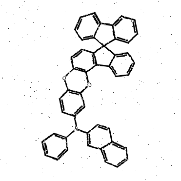 c1ccc(N(c2ccc3c(c2)Oc2c(ccc4c2-c2ccccc2C42c4ccccc4-c4ccccc42)O3)c2ccc3ccccc3c2)cc1